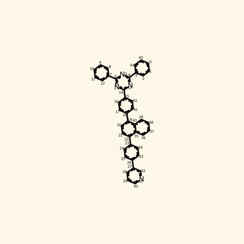 c1ccc(-c2nc(-c3ccccc3)nc(-c3ccc(-c4ccc(-c5ccc(-c6cccnc6)cc5)c5ccccc45)cc3)n2)cc1